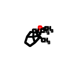 COC1CC2CCC(C1)C2(C)C(C)C